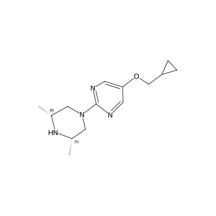 C[C@@H]1CN(c2ncc(OCC3CC3)cn2)C[C@H](C)N1